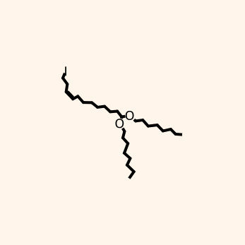 CCCCCCCCOC(CCCCCCC/C=C\CCI)OCCCCCCCC